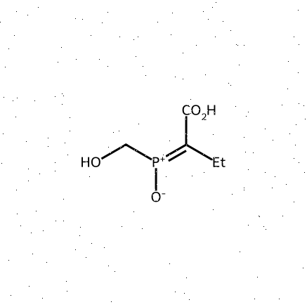 CCC(C(=O)O)=[P+]([O-])CO